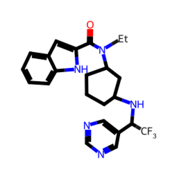 CCN(C(=O)c1cc2ccccc2[nH]1)C1CCCC(NC(c2cncnc2)C(F)(F)F)C1